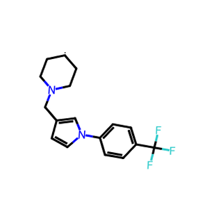 FC(F)(F)c1ccc(-n2ccc(CN3CC[CH]CC3)c2)cc1